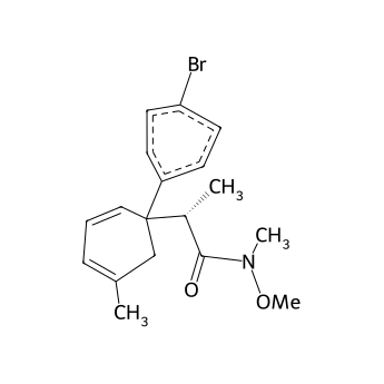 CON(C)C(=O)[C@@H](C)C1(c2ccc(Br)cc2)C=CC=C(C)C1